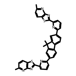 Cc1ccc2sc(-c3cccc(-c4ccc5c(c4)C(C)(C)c4cc(-c6cccc(-c7nc8nc(C)ccc8s7)n6)ccc4-5)n3)nc2n1